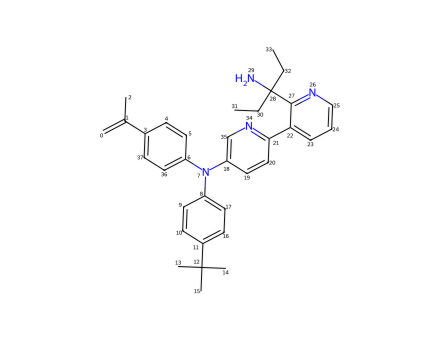 C=C(C)c1ccc(N(c2ccc(C(C)(C)C)cc2)c2ccc(-c3cccnc3C(N)(CC)CC)nc2)cc1